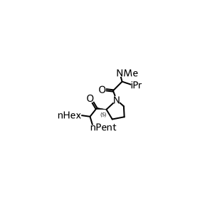 CCCCCCC(CCCCC)C(=O)[C@@H]1CCCN1C(=O)C(NC)C(C)C